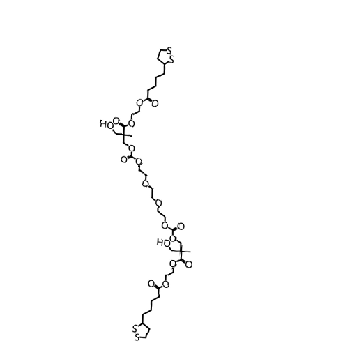 CC(CO)(COC(=O)OCCOCCOCCOC(=O)OCC(C)(CO)C(=O)OCCOC(=O)CCCCC1CCSS1)C(=O)OCCOC(=O)CCCCC1CCSS1